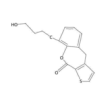 O=C1Oc2c(CCCCO)cccc2Cc2ccsc21